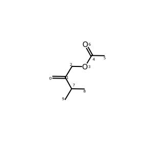 C=C(COC(C)=O)C(C)C